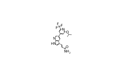 CC(C)Oc1cc(-c2cnc3[nH]cc(C=CC(N)=O)c3c2)cc(C(F)(F)F)n1